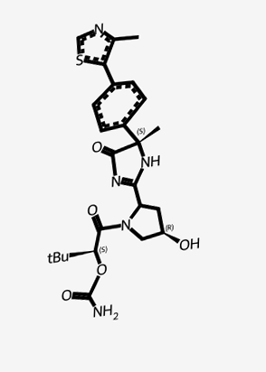 Cc1ncsc1-c1ccc([C@]2(C)NC(C3C[C@@H](O)CN3C(=O)[C@@H](OC(N)=O)C(C)(C)C)=NC2=O)cc1